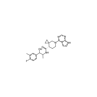 Cc1cc(C(O)C(C)NC(=O)[C@H]2CCN(c3ncnc4[nH]ccc34)CC23CC3)ccc1F